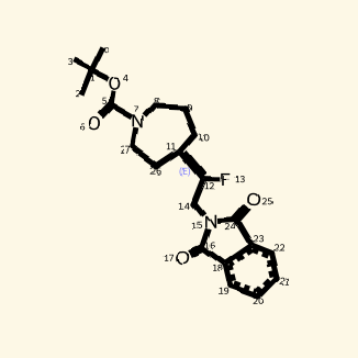 CC(C)(C)OC(=O)N1CCC/C(=C(\F)CN2C(=O)c3ccccc3C2=O)CC1